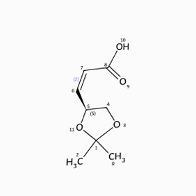 CC1(C)OC[C@H](/C=C\C(=O)O)O1